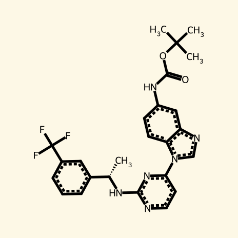 C[C@H](Nc1nccc(-n2cnc3cc(NC(=O)OC(C)(C)C)ccc32)n1)c1cccc(C(F)(F)F)c1